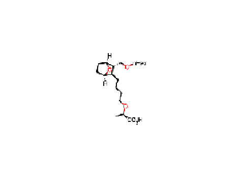 CCCCCCOC[C@@H]1C(CCCCO[C@H](C)C(=O)O)[C@H]2CC[C@@H]1O2